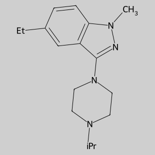 CCc1ccc2c(c1)c(N1CCN(C(C)C)CC1)nn2C